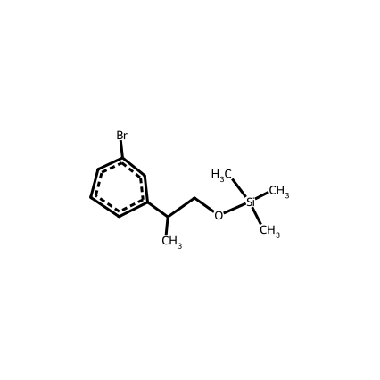 CC(CO[Si](C)(C)C)c1cccc(Br)c1